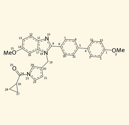 COc1ccc(-c2ccc(-c3nc4ccc(OC)cc4n3Cc3ccn(C(=O)C4CC4)c3)cc2)cc1